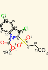 CC(C)(C)OC(=O)n1c(S(=O)(=O)CCC(=O)O)c(Cl)c2cc(Cl)ccc21